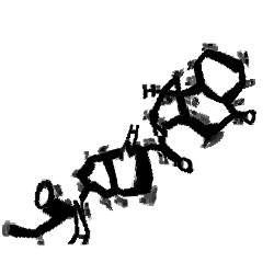 CCC(=O)Nc1ccc2[nH]c(C(=O)N3C[C@H]4C[C@@]45C3=CC(=O)c3ccccc35)cc2c1